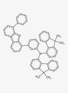 CC1(C)c2ccccc2-c2c(N(c3cccc(-c4cccc5c4oc4c(-c6ccccc6)cccc45)c3)c3cccc4c3-c3ccccc3C4(C)C)cccc21